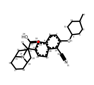 CC1CCC(Oc2ccc3cc(C(C)N4C5CCCC4CC(C(=O)O)C5)ccc3c2C#N)CC1